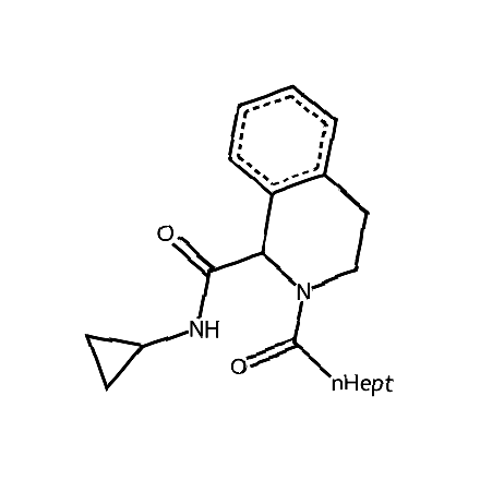 CCCCCCCC(=O)N1CCc2ccccc2C1C(=O)NC1CC1